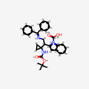 CC(C)(C)OC(=O)NC1(C(CN=C(c2ccccc2)c2ccccc2)c2cc3ccccc3n2C(=O)O)CC1